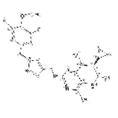 COc1c(F)cc(Cn2cc(CNc3nc(C)c4c(n3)N(C)[C@@H](C3CC3)C(O)N4)cn2)cc1F